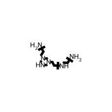 CC(C)(N)CCNC(C)(C)CCN1CNCN(CCC(C)(C)N)C1